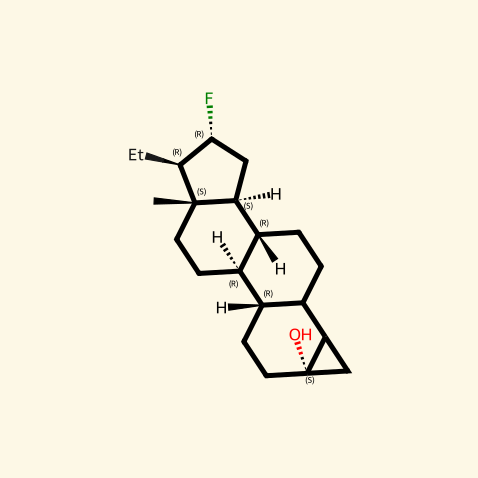 CC[C@H]1[C@H](F)C[C@H]2[C@@H]3CCC4C5C[C@@]5(O)CC[C@@H]4[C@H]3CC[C@@]21C